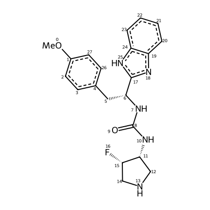 COc1ccc(C[C@@H](NC(=O)N[C@@H]2CNC[C@@H]2F)c2nc3ccccc3[nH]2)cc1